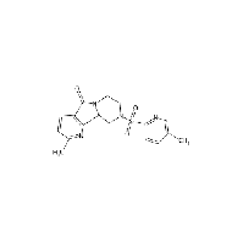 Cc1ccc(S(=O)(=O)N2CCN3C(=O)c4ccc(C)nc4C3C2)nc1